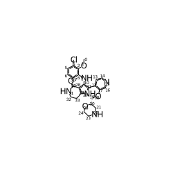 COc1c(Cl)cccc1Nc1c(-c2ccncc2OC[C@@H]2CNCCO2)[nH]c2c1C(=O)NCC2